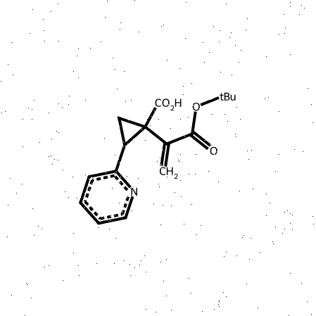 C=C(C(=O)OC(C)(C)C)C1(C(=O)O)CC1c1ccccn1